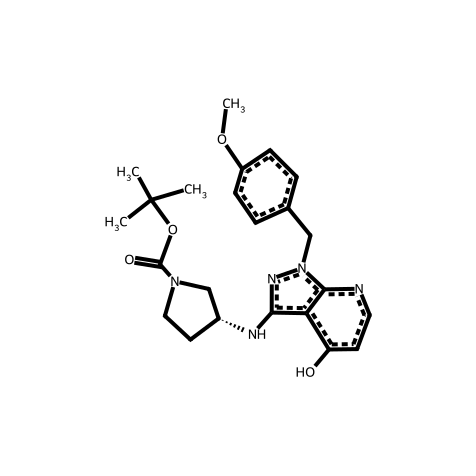 COc1ccc(Cn2nc(N[C@@H]3CCN(C(=O)OC(C)(C)C)C3)c3c(O)ccnc32)cc1